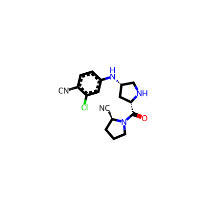 [C-]#[N+]c1ccc(N[C@@H]2CN[C@H](C(=O)N3CCC[C@H]3C#N)C2)cc1Cl